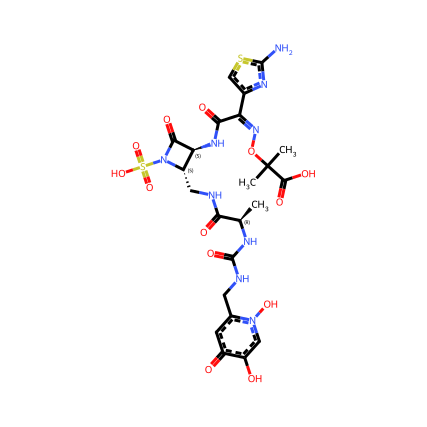 C[C@@H](NC(=O)NCc1cc(=O)c(O)cn1O)C(=O)NC[C@H]1[C@H](NC(=O)C(=NOC(C)(C)C(=O)O)c2csc(N)n2)C(=O)N1S(=O)(=O)O